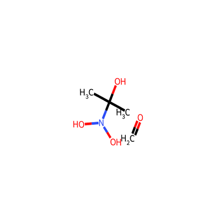 C=O.CC(C)(O)N(O)O